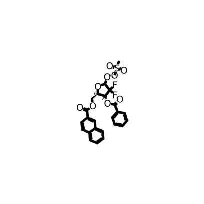 CS(=O)(=O)OOC1O[C@H](COC(=O)c2ccc3ccccc3c2)[C@@H](OC(=O)c2ccccc2)C1(F)F